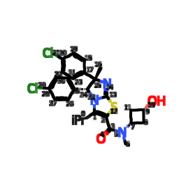 CC(C)C1=C(C(=O)N(C)[C@H]2C[C@@H](O)C2)SC2=N[C@@](C)(c3ccc(Cl)cc3)[C@@H](c3ccc(Cl)cc3)N21